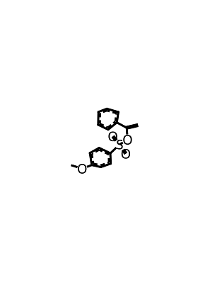 C=C(OS(=O)(=O)c1ccc(OC)cc1)c1ccccc1